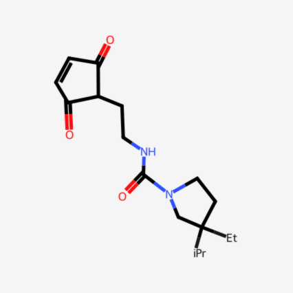 CCC1(C(C)C)CCN(C(=O)NCCC2C(=O)C=CC2=O)C1